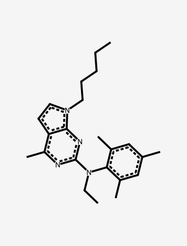 CCCCCn1ccc2c(C)nc(N(CC)c3c(C)cc(C)cc3C)nc21